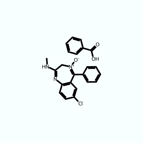 CNC1=Nc2ccc(Cl)cc2C(c2ccccc2)=[N+]([O-])C1.O=C(O)c1ccccc1